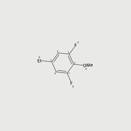 [CH2]Cc1cc(F)c(OC)c(F)c1